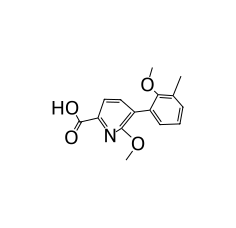 COc1nc(C(=O)O)ccc1-c1cccc(C)c1OC